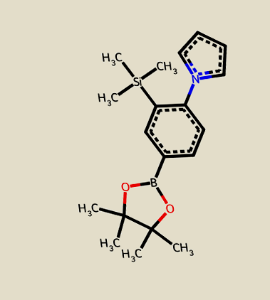 CC1(C)OB(c2ccc(-n3cccc3)c([Si](C)(C)C)c2)OC1(C)C